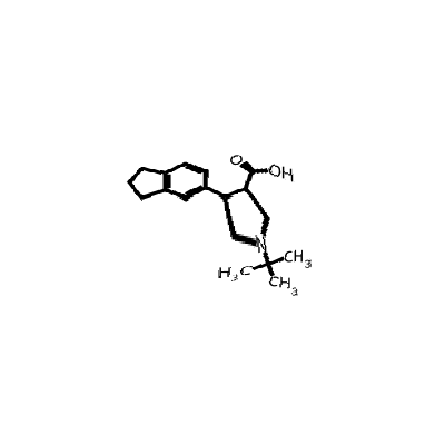 CC(C)(C)N1CC(C(=O)O)C(c2ccc3c(c2)CCC3)C1